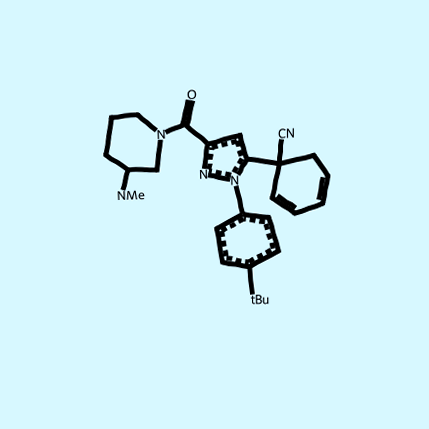 CNC1CCCN(C(=O)c2cc(C3(C#N)C=CC=CC3)n(-c3ccc(C(C)(C)C)cc3)n2)C1